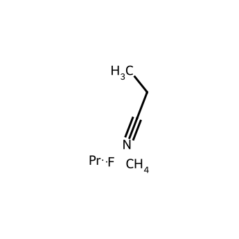 C.CCC#N.[F].[Pr]